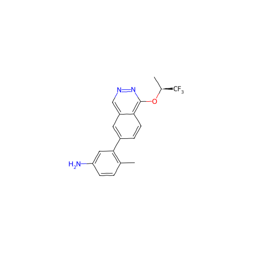 Cc1ccc(N)cc1-c1ccc2c(O[C@@H](C)C(F)(F)F)nncc2c1